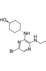 CCNc1ncc(Br)nc1N[C@H]1CC[C@H](O)CC1